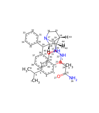 COc1ccc(C(C)C)cc1CN[C@H]1[C@H]2CCN(C[C@@H]2C(=O)NCCC(N)=O)[C@H]1C(c1ccccc1)c1ccccc1